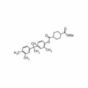 COC(=O)C1CCC(C(=O)Oc2ccc(C(C)(C)c3ccc(C)c(C)c3)cc2C)CC1